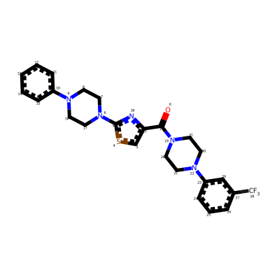 O=C(c1csc(N2CCN(c3ccccc3)CC2)n1)N1CCN(c2cccc(C(F)(F)F)c2)CC1